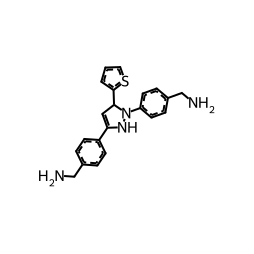 NCc1ccc(C2=CC(c3cccs3)N(c3ccc(CN)cc3)N2)cc1